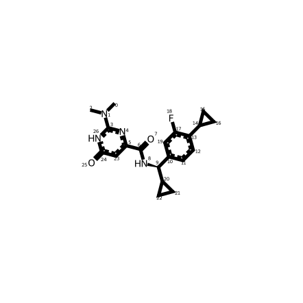 CN(C)c1nc(C(=O)N[C@@H](c2ccc(C3CC3)c(F)c2)C2CC2)cc(=O)[nH]1